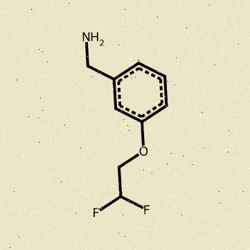 NCc1[c]ccc(OCC(F)F)c1